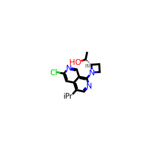 CC(C)c1cnc(N2CC[C@H]2C(C)O)c2cnc(Cl)cc12